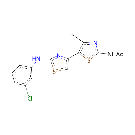 CC(=O)Nc1nc(C)c(-c2csc(Nc3cccc(Cl)c3)n2)s1